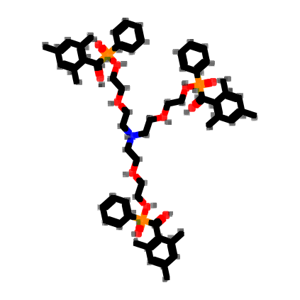 Cc1cc(C)c(C(=O)P(=O)(OCCOCCN(CCOCCOP(=O)(C(=O)c2c(C)cc(C)cc2C)c2ccccc2)CCOCCOP(=O)(C(=O)c2c(C)cc(C)cc2C)c2ccccc2)c2ccccc2)c(C)c1